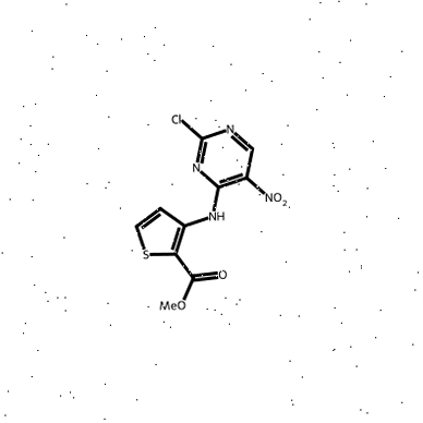 COC(=O)c1sccc1Nc1nc(Cl)ncc1[N+](=O)[O-]